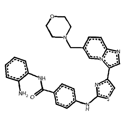 Nc1ccccc1NC(=O)c1ccc(Nc2nc(-c3cnc4ccc(CN5CCOCC5)cn34)cs2)cc1